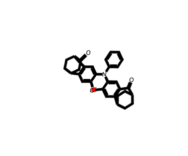 O=C1c2cc(N(c3ccccc3)c3cc4c(cc3Cl)C3CCC(CC3)C4=O)c(Cl)cc2C2CCC1CC2